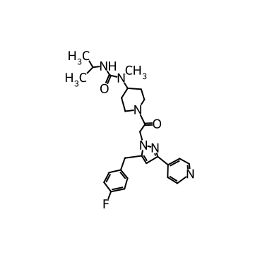 CC(C)NC(=O)N(C)C1CCN(C(=O)Cn2nc(-c3ccncc3)cc2Cc2ccc(F)cc2)CC1